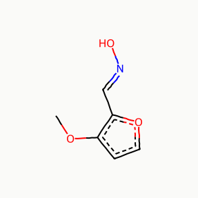 COc1ccoc1C=NO